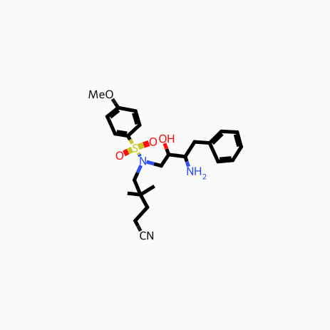 COc1ccc(S(=O)(=O)N(CC(O)C(N)Cc2ccccc2)CC(C)(C)CCC#N)cc1